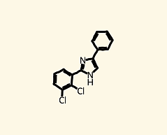 Clc1cccc(-c2nc(-c3ccccc3)c[nH]2)c1Cl